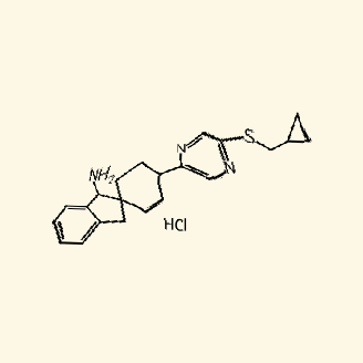 Cl.NC1c2ccccc2CC12CCC(c1cnc(SCC3CC3)cn1)CC2